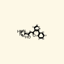 O=C(C=C(O)c1nn[nH]n1)c1ccsc1-c1ccccc1